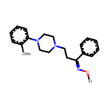 CCO/N=C(/CCN1CCN(c2ccccc2OC)CC1)c1ccccc1